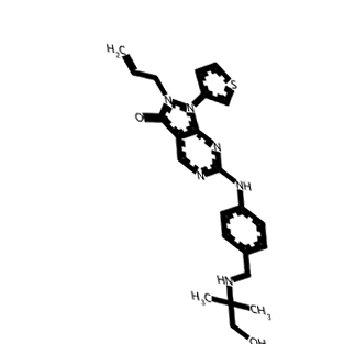 C=CCn1c(=O)c2cnc(Nc3ccc(CNC(C)(C)CO)cc3)nc2n1-c1ccsc1